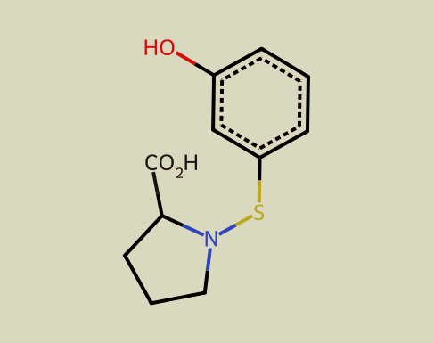 O=C(O)C1CCCN1Sc1cccc(O)c1